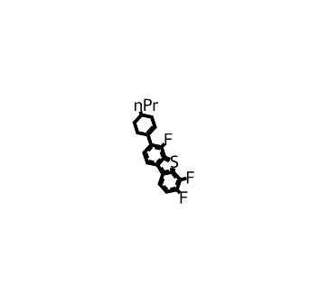 CCCC1CC=C(c2ccc3c(sc4c(F)c(F)ccc43)c2F)CC1